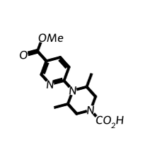 COC(=O)c1ccc(N2C(C)CN(C(=O)O)CC2C)nc1